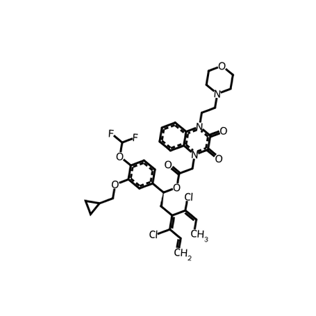 C=C/C(Cl)=C(C[C@H](OC(=O)Cn1c(=O)c(=O)n(CCN2CCOCC2)c2ccccc21)c1ccc(OC(F)F)c(OCC2CC2)c1)\C(Cl)=C/C